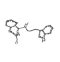 Clc1nc(NCCc2c[nH]c3ccccc23)c2ccccc2n1